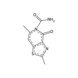 Cc1nc2c(=O)n(C(N)=O)c(C)cc2s1